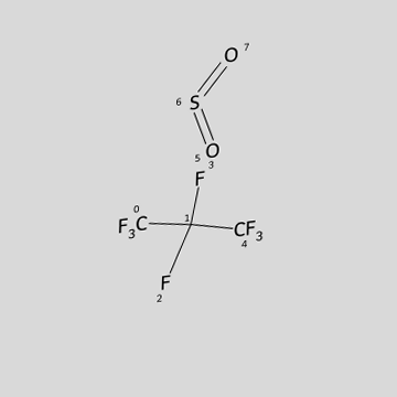 FC(F)(F)C(F)(F)C(F)(F)F.O=S=O